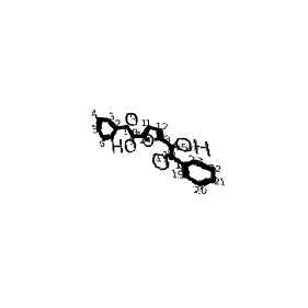 O=C(c1ccccc1)C(O)c1ccc(C(O)C(=O)c2ccccc2)o1